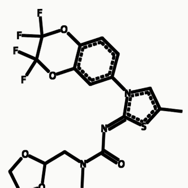 Cc1cn(-c2ccc3c(c2)OC(F)(F)C(F)(F)O3)c(=NC(=O)N(C)CC2OCCO2)s1